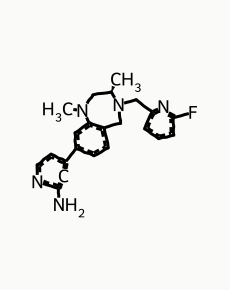 C[C@@H]1CN(C)c2cc(-c3ccnc(N)c3)ccc2CN1Cc1cccc(F)n1